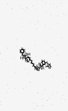 Cc1nccn1Cc1cccc(CC(=O)Nc2nnc(CCCCc3ccc(NC(O)Cc4ccccc4)nn3)s2)c1